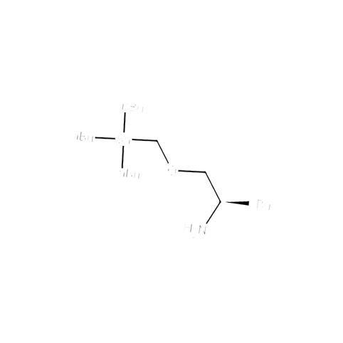 CCC[CH2][Sn]([CH2]CCC)([CH2]CCC)[CH2]OC[C@H](N)C(C)(C)C